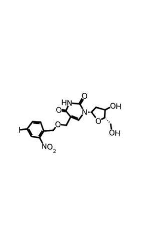 O=c1[nH]c(=O)n([C@@H]2CC(O)[C@H](CO)O2)cc1COCc1ccc(I)cc1[N+](=O)[O-]